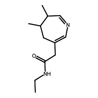 CCNC(=O)CC1=CN=CC(C)C(C)C1